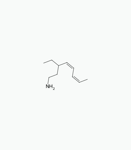 C/C=C\C=C/C(CC)CCN